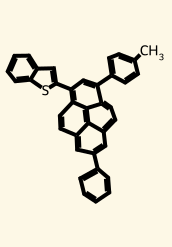 Cc1ccc(-c2cc(-c3cc4ccccc4s3)c3ccc4cc(-c5ccccc5)cc5ccc2c3c54)cc1